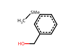 CSC.OCc1ccccc1